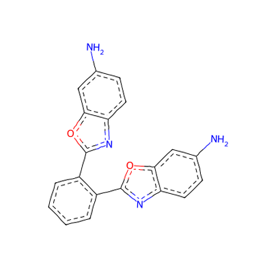 Nc1ccc2nc(-c3ccccc3-c3nc4ccc(N)cc4o3)oc2c1